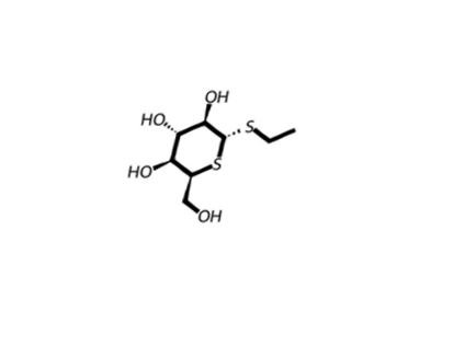 CCS[C@@H]1S[C@@H](CO)[C@@H](O)[C@H](O)[C@H]1O